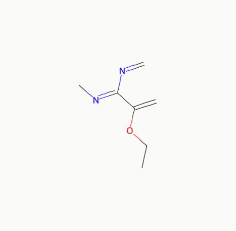 C=N/C(=N\C)C(=C)OCC